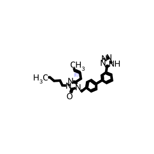 C/C=C/Cc1nn(CCCCC)c(=O)n1Cc1ccc(-c2cccc(-c3nnn[nH]3)c2)cc1